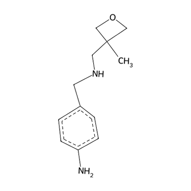 CC1(CNCc2ccc(N)cc2)COC1